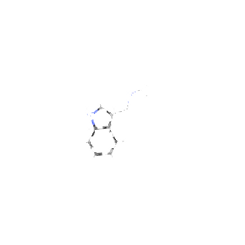 O=CNCc1c[nH]c2ccccc12